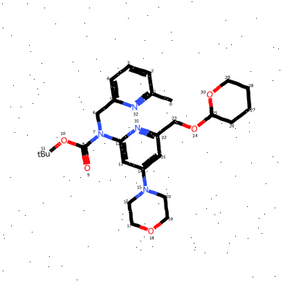 Cc1cccc(CN(C(=O)OC(C)(C)C)c2cc(N3CCOCC3)cc(COC3CCCCO3)n2)n1